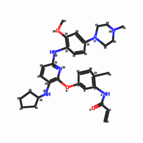 C=CC(=O)Nc1cc(Oc2nc(Nc3ccc(N4CCN(C)CC4)cc3OC)ccc2NC2CCCC2)ccc1C